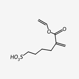 C=COC(=O)C(=C)CCCCS(=O)(=O)O